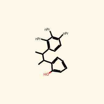 CCCc1ccc(C(C)C(C)c2ccccc2O)c(CCC)c1CCC